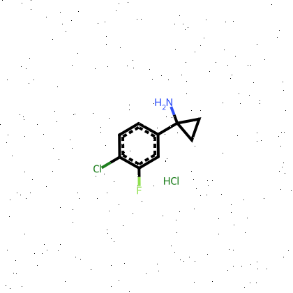 Cl.NC1(c2ccc(Cl)c(F)c2)CC1